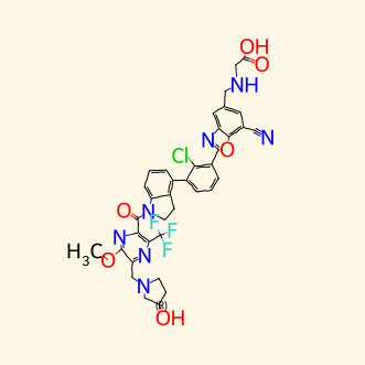 COc1nc(C(=O)N2CCc3c(-c4cccc(-c5nc6cc(CNCC(=O)O)cc(C#N)c6o5)c4Cl)cccc32)c(C(F)(F)F)nc1CN1CC[C@@H](O)C1